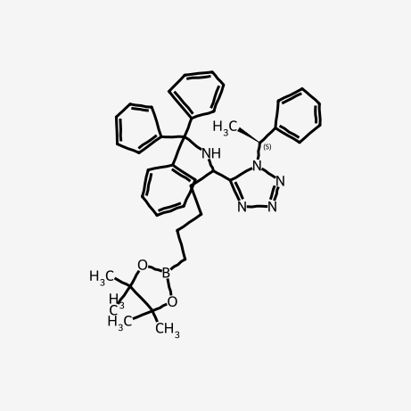 C[C@@H](c1ccccc1)n1nnnc1C(CCCCB1OC(C)(C)C(C)(C)O1)NC(c1ccccc1)(c1ccccc1)c1ccccc1